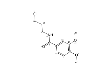 COc1ccc(C(=O)NCCCCl)cc1OC